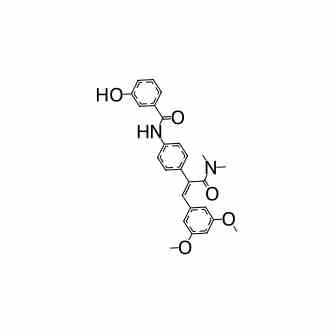 COc1cc(C=C(C(=O)N(C)C)c2ccc(NC(=O)c3cccc(O)c3)cc2)cc(OC)c1